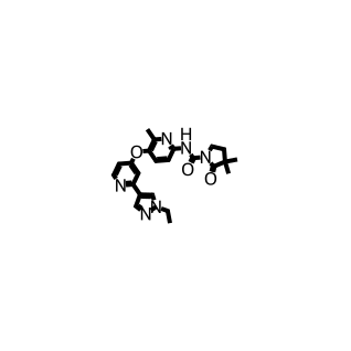 CCn1cc(-c2cc(Oc3ccc(NC(=O)N4CCC(C)(C)C4=O)nc3C)ccn2)cn1